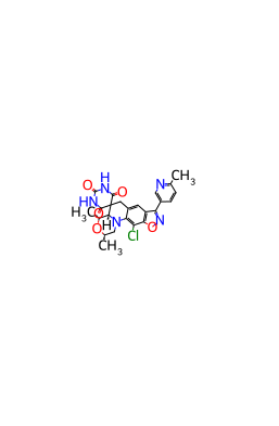 Cc1ccc(-c2noc3c(Cl)c4c(cc23)CC2(C(=O)NC(=O)NC2=O)[C@H]2[C@H](C)O[C@H](C)CN42)cn1